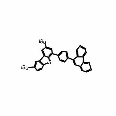 CCC(C)c1ccc2sc3c(-c4ccc(-c5cc6ccccc6c6ccccc56)cc4)cc(C(C)CC)cc3c2c1